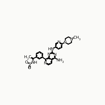 C=C(N[SH](=O)=O)c1cccc(-c2nccc3c(N)nc(Nc4ccc(N5CCN(C)CC5)nc4)nc23)c1